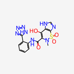 CN1C(C(=O)Nc2ccccc2-c2nnn[nH]2)=C(O)c2[nH]cnc2S1(=O)=O